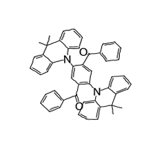 CC1(C)c2ccccc2N(c2cc(C(=O)c3ccccc3)c(N3c4ccccc4C(C)(C)c4ccccc43)cc2C(=O)c2ccccc2)c2ccccc21